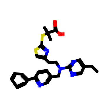 CCc1cnc(N(CCc2csc(SC(C)(C)C(=O)O)n2)Cc2ccc(-c3ccccc3)nc2)nc1